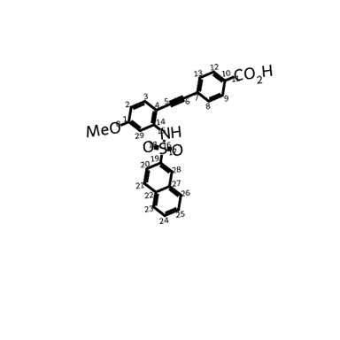 COc1ccc(C#Cc2ccc(C(=O)O)cc2)c(NS(=O)(=O)c2ccc3ccccc3c2)c1